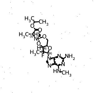 CNc1nc(N)nc2c1ncn2[C@@H]1OC2COP(=S)(N[C@@H](C)C(=O)OC(C)C)O[C@H]2[C@@]1(C)F